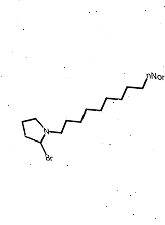 CCCCCCCCCCCCCCCCCCN1CCCC1Br